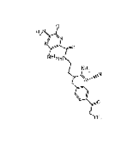 COC(=O)c1ccc(CN(CCNC(=O)c2nc(Cl)c(N)nc2N)C(N)=NC#N)cc1